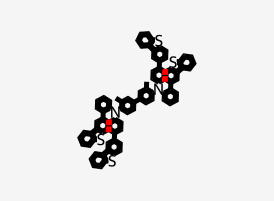 Cc1cc(-c2ccc(N(c3ccc(-c4ccc5sc6ccccc6c5c4)cc3)c3ccccc3-c3ccc4sc5ccccc5c4c3)c(C)c2)ccc1N(c1ccc(-c2ccc3sc4ccccc4c3c2)cc1)c1ccccc1-c1ccc2sc3ccccc3c2c1